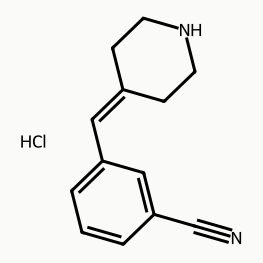 Cl.N#Cc1cccc(C=C2CCNCC2)c1